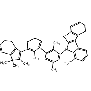 CC1=C(C2=C(C)C(C)(C)C3=C2CCC=C3)CCC=C1c1cc(C)cc(-n2c3sc4c(c3c3cccc(C)c32)CCC=C4)c1C